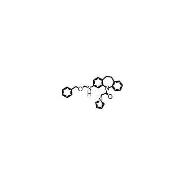 O=C(Cn1cccc1)N1c2ccccc2CCc2ccc(NCOCc3ccccc3)cc21